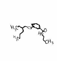 CCCCC(CC)COc1cccc(C(=O)NCCC)c1